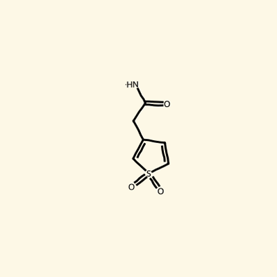 [NH]C(=O)CC1=CS(=O)(=O)C=C1